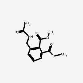 COC(=O)c1cccc(CNC(N)=O)c1C(=O)OC